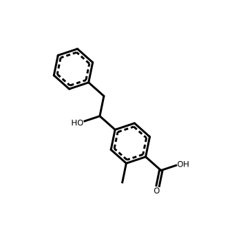 Cc1cc(C(O)Cc2ccccc2)ccc1C(=O)O